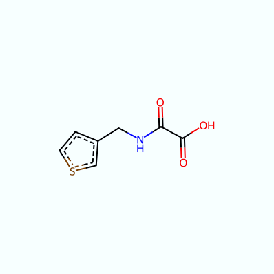 O=C(O)C(=O)NCc1ccsc1